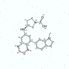 Cn1ccc2ccc(-c3cc(N[C@H]4CCN(C(=O)O)C4)cc4nccnc34)cc21